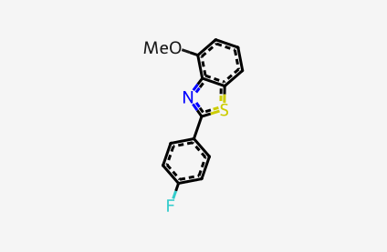 COc1cccc2sc(-c3ccc(F)cc3)nc12